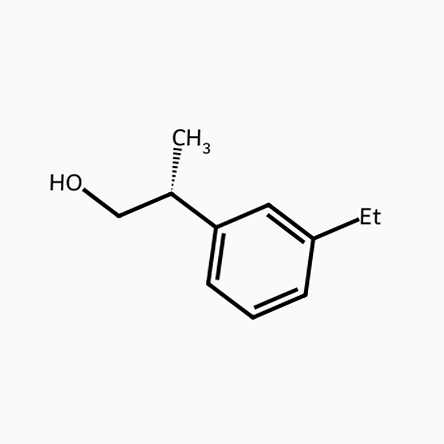 CCc1cccc([C@@H](C)CO)c1